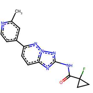 Cc1cc(-c2ccc3nc(NC(=O)C4(F)CC4)nn3n2)ccn1